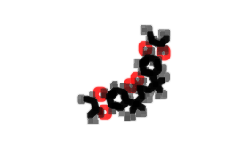 CC1Oc2cc3c(cc2OC1C)C(C)(C)CC1(CC(C)(C)c2cc4c(cc2O1)OC(C)C(C)O4)O3